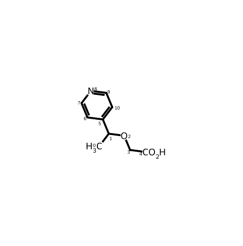 CC(OCC(=O)O)c1ccncc1